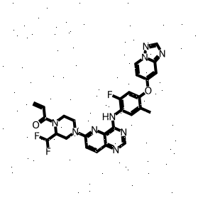 C=CC(=O)N1CCN(c2ccc3ncnc(Nc4cc(C)c(Oc5ccn6ncnc6c5)cc4F)c3n2)CC1C(F)F